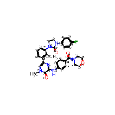 Cc1c(-c2cn(C)c(=O)c(Nc3ccc(C(=O)N4CCOCC4)cc3)n2)cccc1N1CCN(c2ccc(F)cc2)C1=O